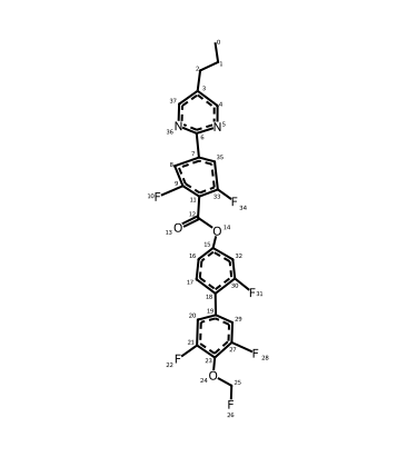 CCCc1cnc(-c2cc(F)c(C(=O)Oc3ccc(-c4cc(F)c(OCF)c(F)c4)c(F)c3)c(F)c2)nc1